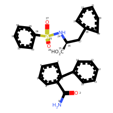 NC(=O)c1ccccc1-c1ccccc1.O=C(O)[C@H](Cc1ccccc1)NS(=O)(=O)c1ccccc1